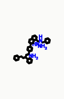 NNC(NCc1ccccc1)c1cccc2ccc(-c3ccc(/C(N)=C/C(=C\Cc4ccccc4)c4ccccc4)cc3)cc12